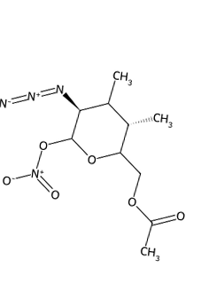 CC(=O)OCC1OC(O[N+](=O)[O-])[C@@H](N=[N+]=[N-])C(C)[C@@H]1C